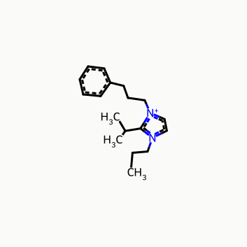 CCCn1cc[n+](CCCc2ccccc2)c1C(C)C